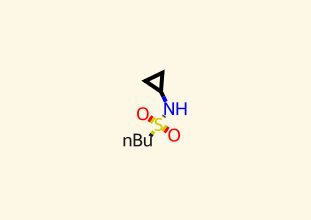 CCCCS(=O)(=O)NC1CC1